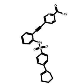 O=C(O)c1ccc(C#Cc2ccccc2NS(=O)(=O)c2ccc(C3=CCCCC3)cc2)cn1